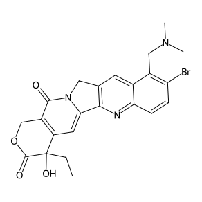 CCC1(O)C(=O)OCc2c1cc1n(c2=O)Cc2cc3c(CN(C)C)c(Br)ccc3nc2-1